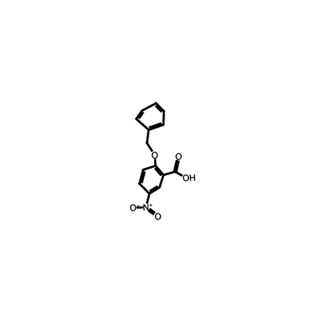 O=C(O)c1cc([N+](=O)[O-])ccc1OCc1ccccc1